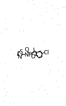 Cc1c(C(=O)Nc2nccs2)oc2ccc(Cl)cc12